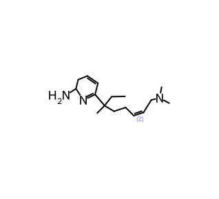 CCC(C)(CC/C=C\CN(C)C)C1=NC(N)CC=C1